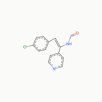 O=CN/C(=C/c1ccc(Cl)cc1)c1ccncc1